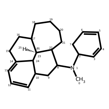 CN(C1C=CC=CC1)C1CC2C=CC=C3CCC4CCCCC1[C@H]4C32